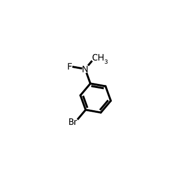 CN(F)c1cccc(Br)c1